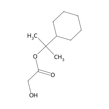 CC(C)(OC(=O)CO)C1CCCCC1